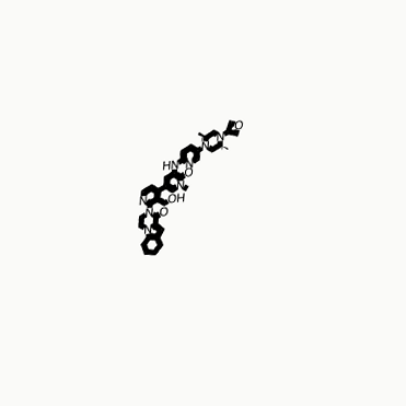 C[C@@H]1CN(c2ccc(Nc3cc(-c4ccnc(N5CCn6c(cc7c6CCCC7)C5=O)c4CO)cn(C)c3=O)nc2)[C@@H](C)CN1C1COC1